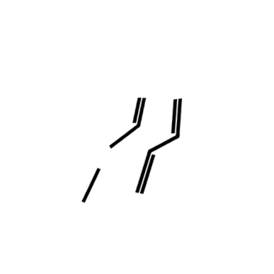 C=CC.C=CC=C.CC